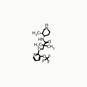 C[C@H]1CNCC[C@@H]1NC(=O)C(C)(C)COc1ncccc1OC(F)(F)F